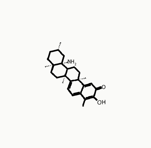 CC1=C(O)C(=O)C=C2C1=CC=C1[C@@]2(C)CCC2[C@]3(N)C[C@@H](C)CC[C@]3(C)CC[C@]12C